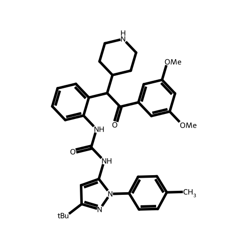 COc1cc(OC)cc(C(=O)C(c2ccccc2NC(=O)Nc2cc(C(C)(C)C)nn2-c2ccc(C)cc2)C2CCNCC2)c1